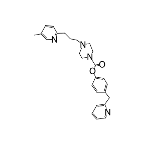 Cc1ccc(CCCN2CCN(C(=O)Oc3ccc(Cc4ccccn4)cc3)CC2)nc1